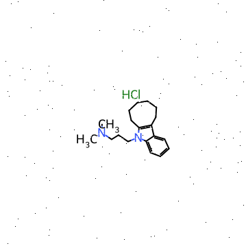 CN(C)CCCn1c2c(c3ccccc31)CCCCCC2.Cl